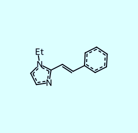 CCn1ccnc1C=Cc1ccccc1